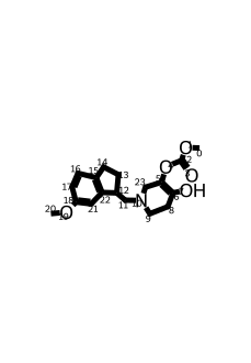 COC(=O)OC1=C(O)CCN(CC2CCc3ccc(OC)cc32)C1